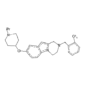 CC(C)N1CCC(Oc2ccc3c(c2)cc2n3CCN(Cc3ccccc3C(F)(F)F)C2)CC1